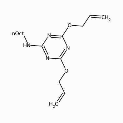 C=CCOc1nc(NCCCCCCCC)nc(OCC=C)n1